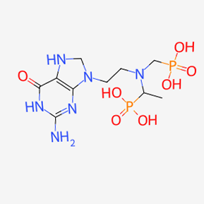 CC(N(CCN1CNc2c1nc(N)[nH]c2=O)CP(=O)(O)O)P(=O)(O)O